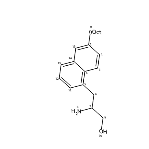 CCCCCCCCc1ccc2c(CC(N)CO)cccc2c1